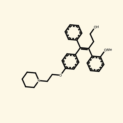 COc1ccccc1/C(CCO)=C(/c1ccccc1)c1ccc(OCCN2CCCCC2)cc1